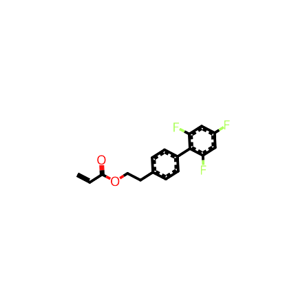 C=CC(=O)OCCc1ccc(-c2c(F)cc(F)cc2F)cc1